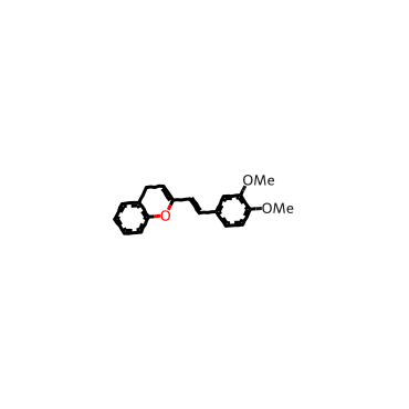 COc1ccc(C=CC2=CCc3ccccc3O2)cc1OC